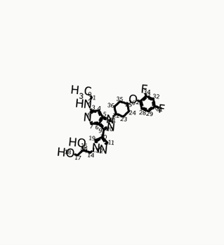 CCNc1cc2c(cn1)c(-c1cnn(C[C@H](O)CO)c1)nn2C1CCC(Oc2ccc(F)cc2F)CC1